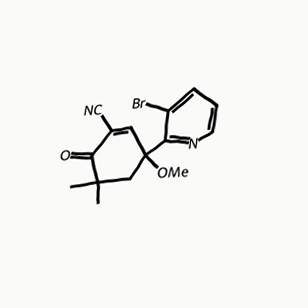 COC1(c2ncccc2Br)C=C(C#N)C(=O)C(C)(C)C1